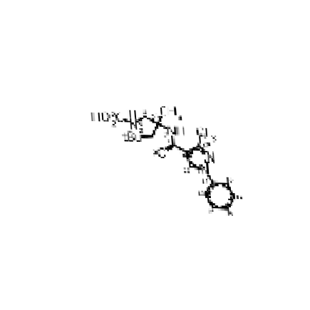 CC(C)(C)CC(C)(CNC(=O)O)NC(=O)c1cn(-c2ccccc2)nc1C(F)(F)F